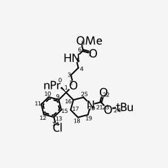 CCC[C@](OCCNC(=O)OC)(c1cccc(Cl)c1)C1CCCN(C(=O)OC(C)(C)C)C1